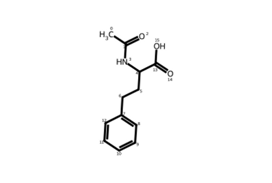 CC(=O)NC(CCc1ccccc1)C(=O)O